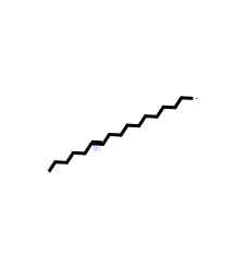 [CH2]CCCCCCCCC/C=C/CCCCC